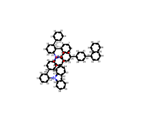 c1ccc(-c2ccccc2-c2c(-c3ccccc3)cccc2N(c2ccc(-c3ccc(-c4cccc5ccccc45)cc3)cc2)c2ccc(-c3ccccc3-n3c4ccccc4c4ccccc43)cc2)cc1